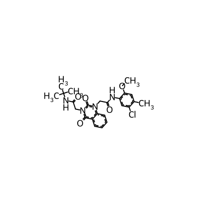 COc1cc(C)c(Cl)cc1NC(=O)Cn1c(=O)n(CC(=O)NC(C)(C)C)c(=O)c2ccccc21